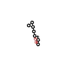 CC1(C)c2cc(-c3ccc(C4=CC5c6ccccc6-c6ccccc6C5C=C4)cc3)ccc2Oc2c1ccc1c2oc2ccccc21